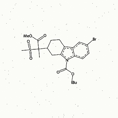 COC(=O)C(C)(C1CCc2c(n(C(=O)OC(C)(C)C)c3ccc(Br)cc23)C1)S(C)(=O)=O